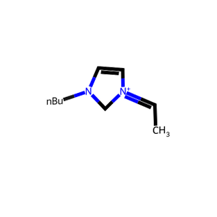 CC=[N+]1C=CN(CCCC)C1